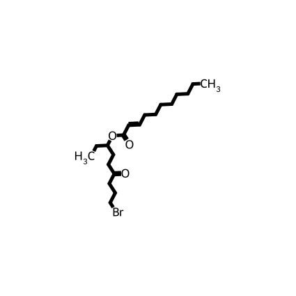 CCCCCCCC/C=C/C(=O)OC(CC)CCC(=O)CCCBr